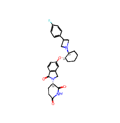 O=C1CC[C@H](N2Cc3cc(O[C@H]4CCCC[C@@H]4N4CC(c5ccc(F)cc5)C4)ccc3C2=O)C(=O)N1